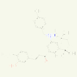 Cc1ccc(CNc2cc(C(=O)C=Cc3ccc(C(=O)O)c(O)c3)cc3c2C(C)(C)CCC3(C)C)cc1